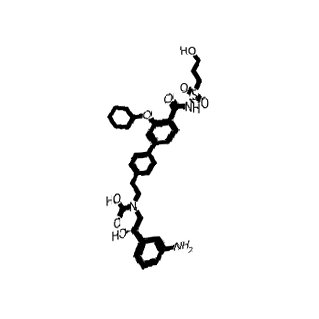 Nc1cccc([C@H](O)CN(CCc2ccc(-c3ccc(C(=O)NS(=O)(=O)CCCO)c(OC4CCCCC4)c3)cc2)C(=O)O)c1